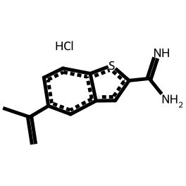 C=C(C)c1ccc2sc(C(=N)N)cc2c1.Cl